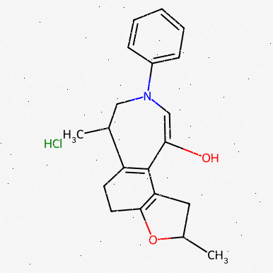 CC1CC2=C(CCC3=C2C(O)=CN(c2ccccc2)CC3C)O1.Cl